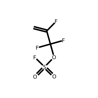 C=C(F)C(F)(F)OS(=O)(=O)F